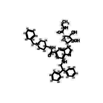 CCNC(=O)[C@H]1O[C@@H](n2cnc3c(NCC(c4ccccc4)c4ccccc4)nc(C(=O)NC4CCN(Cc5ccccc5)CC4)nc32)[C@H](O)[C@@H]1O